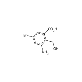 Nc1cc(Br)cc(C(=O)O)c1CO